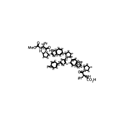 COC(=O)N[C@H](C(=O)N1CCC[C@H]1c1nc2cc([C@H]3CC[C@H](c4ccc5[nH]c([C@@H]6CCCN6C(=O)[C@@H](NC(=O)O)C(C)C)nc5c4)N3c3cnc(-c4ccc(F)cc4)s3)ccc2[nH]1)C(C)C